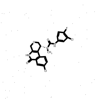 CN(C(=O)Nc1ccc(F)c(Cl)c1)[C@H]1COCc2[nH]c(=O)c3cc(Cl)ccc3c21